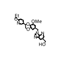 CCOc1ccc(C2COc3cc(Cn4cnc5cc(CO)cnc54)cc(OC)c3O2)cn1